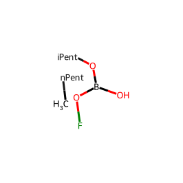 CCCC(C)OB(O)OF.CCCCCC